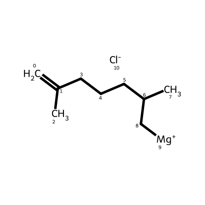 C=C(C)CCCC(C)[CH2][Mg+].[Cl-]